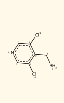 BCc1c(Cl)cncc1Cl